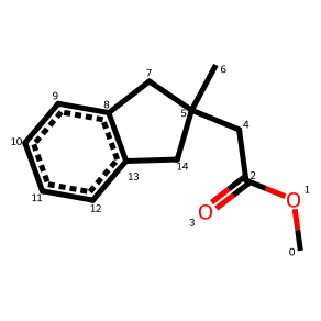 COC(=O)CC1(C)Cc2ccccc2C1